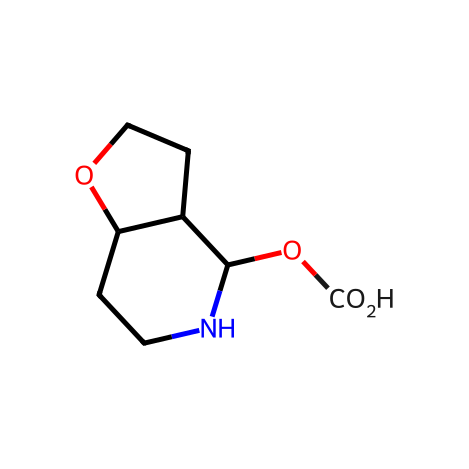 O=C(O)OC1NCCC2OCCC21